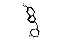 Clc1ccc2cc(OC3CCNCC3)ccc2c1